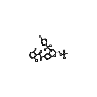 CS(=O)(=O)OC[C@H]1CN(S(=O)(=O)c2ccc(F)cc2)c2cc(NC(=O)c3c(F)cccc3Cl)ccc2O1